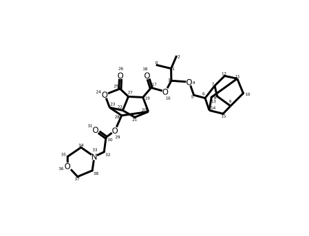 CC(C)C(OCC1C2CC3CC(C2)CC1C3)OC(=O)C1C2CC3C(OC(=O)C31)C2OC(=O)CN1CCOCC1